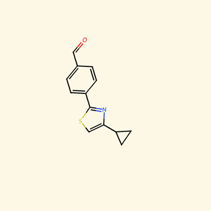 O=Cc1ccc(-c2nc(C3CC3)cs2)cc1